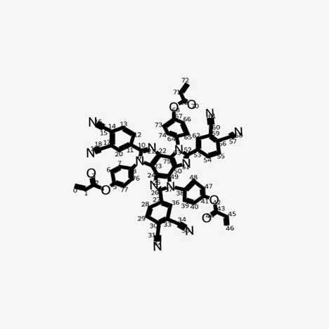 C=CC(=O)Oc1ccc(-n2c(-c3ccc(C#N)c(C#N)c3)nc3c2c2nc(-c4ccc(C#N)c(C#N)c4)n(-c4ccc(OC(=O)C=C)cc4)c2c2nc(-c4ccc(C#N)c(C#N)c4)n(-c4ccc(OC(=O)C=C)cc4)c32)cc1